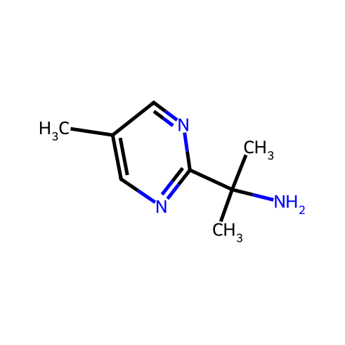 Cc1cnc(C(C)(C)N)nc1